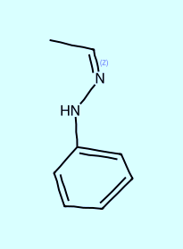 C/C=N\Nc1ccccc1